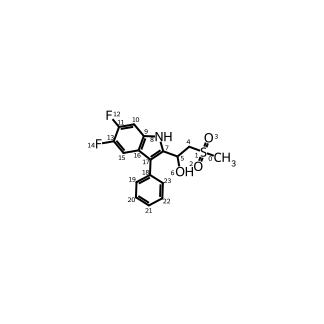 CS(=O)(=O)CC(O)c1[nH]c2cc(F)c(F)cc2c1-c1ccccc1